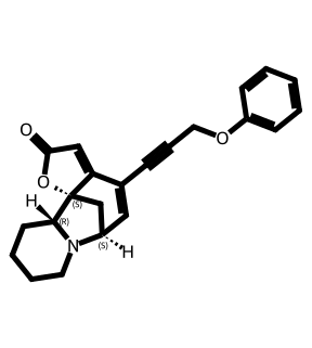 O=C1C=C2C(C#CCOc3ccccc3)=C[C@@H]3C[C@@]2(O1)[C@H]1CCCCN31